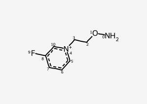 NOCC[n+]1cccc(F)c1